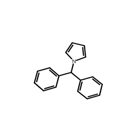 c1ccc(C(c2ccccc2)n2cccc2)cc1